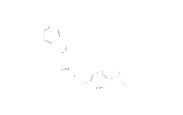 CNC(=O)c1ccc(NC(C)(C)C(=O)Sc2nc3ccccc3s2)cc1F